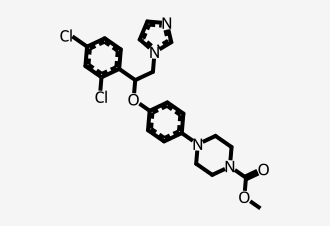 COC(=O)N1CCN(c2ccc(OC(Cn3ccnc3)c3ccc(Cl)cc3Cl)cc2)CC1